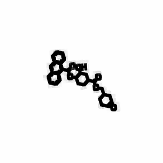 O=C(OC1CCC(C(=O)OCC2CCC3OC3C2)CC1O)c1c2ccccc2cc2ccccc12